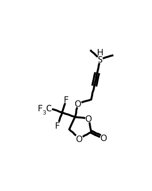 C[SH](C)C#CCOC1(C(F)(F)C(F)(F)F)COC(=O)O1